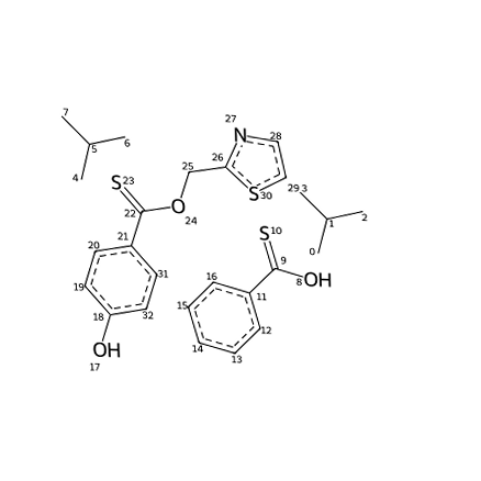 CC(C)C.CC(C)C.OC(=S)c1ccccc1.Oc1ccc(C(=S)OCc2nccs2)cc1